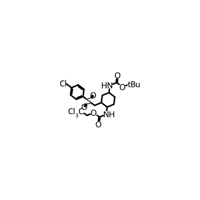 CC(C)(C)OC(=O)NC1CCC(NC(=O)OCC(Cl)(Cl)Cl)C(CS(=O)(=O)c2ccc(Cl)cc2)C1